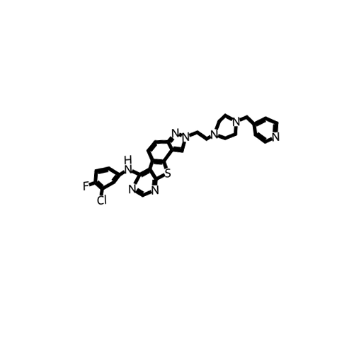 Fc1ccc(Nc2ncnc3sc4c5cn(CCN6CCN(Cc7ccncc7)CC6)nc5ccc4c23)cc1Cl